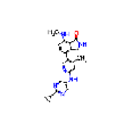 CNc1ccc(-c2cnc(Nc3cnc(C4CC4)nc3)cc2C)c2c1C(=O)NC2